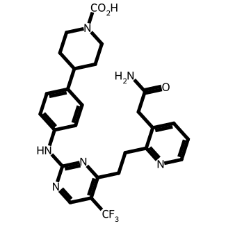 NC(=O)Cc1cccnc1CCc1nc(Nc2ccc(C3CCN(C(=O)O)CC3)cc2)ncc1C(F)(F)F